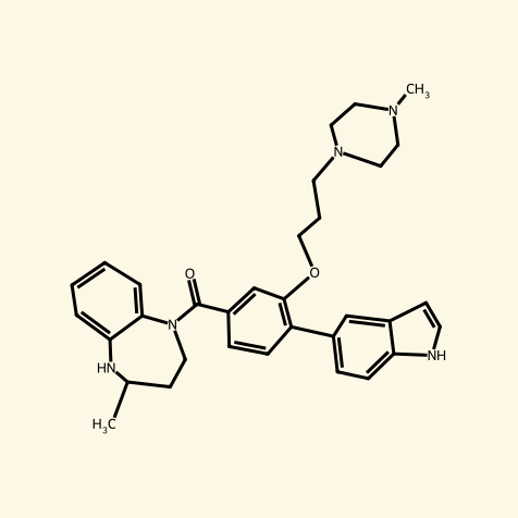 CC1CCN(C(=O)c2ccc(-c3ccc4[nH]ccc4c3)c(OCCCN3CCN(C)CC3)c2)c2ccccc2N1